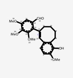 COc1ccc2c(c1O)CCCC/C(c1c(C=O)cc(OC)c(OC)c1OC)=C\2